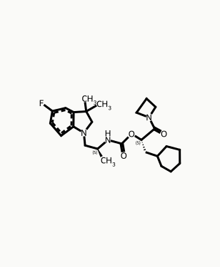 C[C@@H](CN1CC(C)(C)c2cc(F)ccc21)NC(=O)O[C@@H](CC1CCCCC1)C(=O)N1CCC1